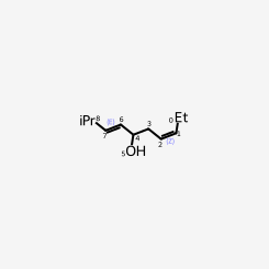 CC/C=C\CC(O)/C=C/C(C)C